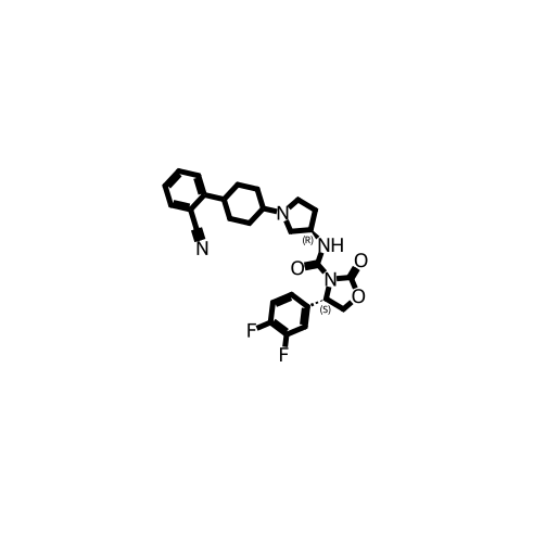 N#Cc1ccccc1C1CCC(N2CC[C@@H](NC(=O)N3C(=O)OC[C@@H]3c3ccc(F)c(F)c3)C2)CC1